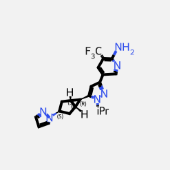 CC(C)n1nc(-c2cnc(N)c(C(F)(F)F)c2)cc1[C@H]1[C@@H]2C[C@@H](n3cccn3)C[C@@H]21